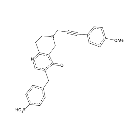 COc1ccc(C#CCN2CCc3ncn(Cc4ccc(S(=O)(=O)O)cc4)c(=O)c3C2)cc1